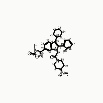 CN(C)C1CCN(C(=O)Cn2c(-c3ccccc3F)c(C3CCCCC3)c3ccc(-c4noc(=O)[nH]4)cc32)CC1